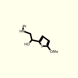 COc1ccc(C(O)CNC(C)C)s1